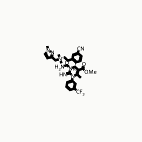 COC(=O)C1=C(C)N(c2cccc(C(F)(F)F)c2)C(=N)N(C(N)=O)[C@@H]1c1ccc(C#N)cc1CC[N+](C)(C)Cc1ccn(C)n1